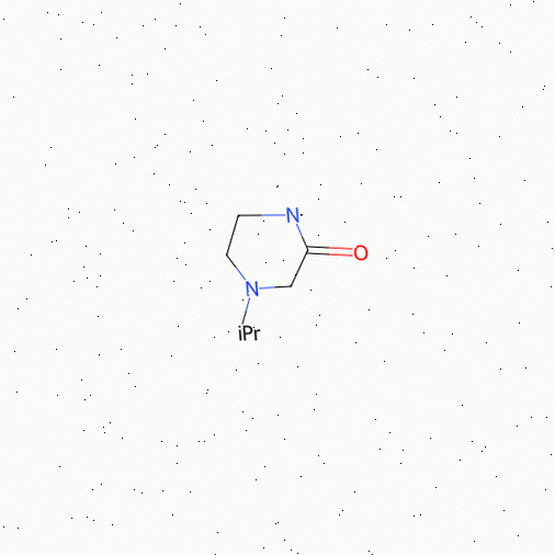 CC(C)N1CC[N]C(=O)C1